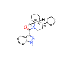 Cn1nc(C(=O)N2CC[C@H](c3ccccc3)[C@H]3CCCC[C@H]32)c2ccccc21